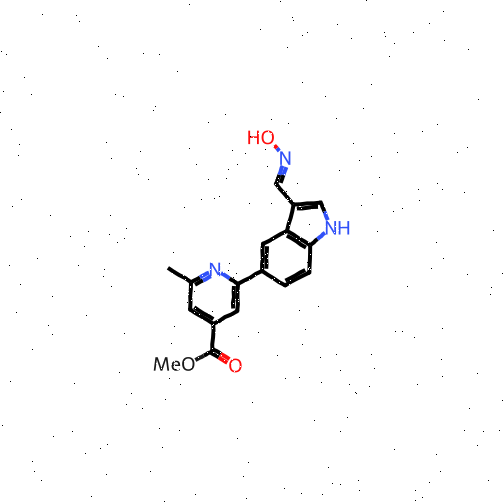 COC(=O)c1cc(C)nc(-c2ccc3[nH]cc(C=NO)c3c2)c1